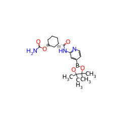 CC1(C)OB(c2ccnc(NC(=O)[C@H]3CCC[C@@H](OC(N)=O)C3)c2)OC1(C)C